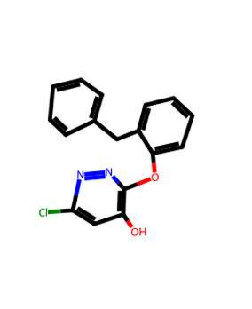 Oc1cc(Cl)nnc1Oc1ccccc1Cc1ccccc1